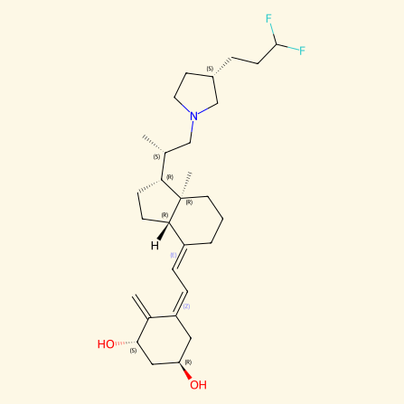 C=C1/C(=C\C=C2/CCC[C@]3(C)[C@@H]([C@H](C)CN4CC[C@H](CCC(F)F)C4)CC[C@@H]23)C[C@@H](O)C[C@@H]1O